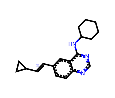 C(=C\C1CC1)/c1ccc2ncnc(NC3CCCCC3)c2c1